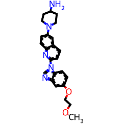 COCCOc1ccc2c(c1)ncn2-c1ccc2cc(N3CCC(N)CC3)ccc2n1